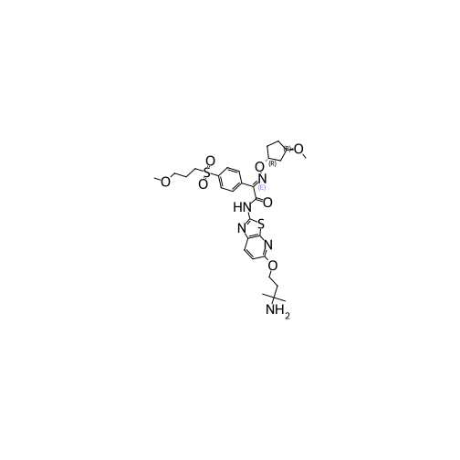 COCCCS(=O)(=O)c1ccc(/C(=N\O[C@@H]2CC[C@@H](OC)C2)C(=O)Nc2nc3ccc(OCCC(C)(C)N)nc3s2)cc1